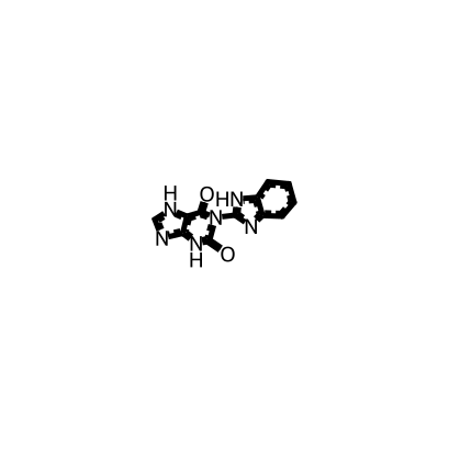 O=c1[nH]c2nc[nH]c2c(=O)n1-c1nc2ccccc2[nH]1